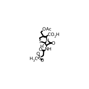 CC(=O)OCC1=C(C(=O)O)N2C(=O)[C@@H](NC(=O)CS(C)(=O)=O)[C@H]2SC1